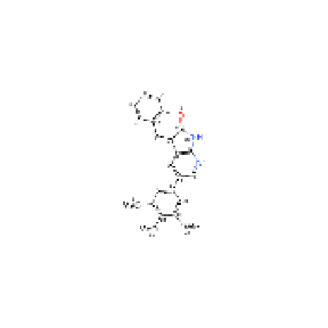 COc1cc(-c2cnc3c(c2)C(Cc2ccccc2)C(=O)N3)cc(OC)c1OC